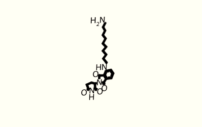 NCCCCCCCCCCCNc1cccc2c1C(=O)N(C1CCC(=O)NC1=O)C2=O